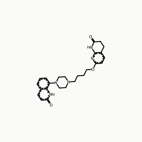 O=C1CCc2ccc(OCCCCN3CCN(c4cccc5ccc(=O)[nH]c45)CC3)nc2N1